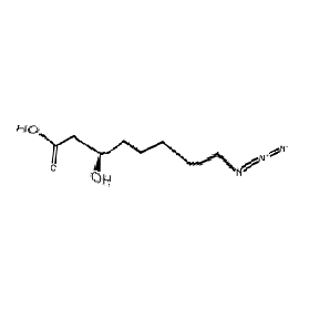 [N-]=[N+]=NCCCCC[C@@H](O)CC(=O)O